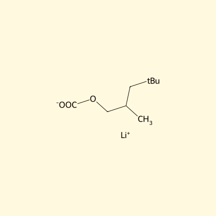 CC(COC(=O)[O-])CC(C)(C)C.[Li+]